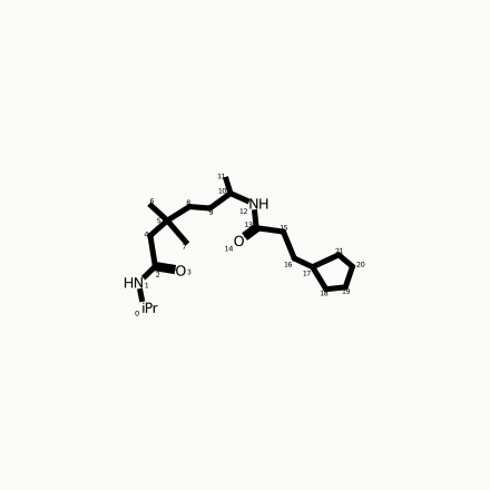 CC(C)NC(=O)CC(C)(C)CCC(C)NC(=O)CCC1CCCC1